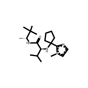 CC(C)[C@H](NC1(c2nccn2C)CCCC1)C(=O)N[C@H](C)C(C)(C)C